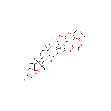 CC(=O)O[C@H]1[C@H](OC(C)=O)[C@@H](O[C@H]2CC[C@@]3(C)[C@@H](CC[C@@H]4[C@@H]3CC[C@]3(C)[C@@H]5[C@H](C[C@@H]43)O[C@]3(CC[C@@H](C)CO3)[C@H]5C)C2)O[C@@H](C)[C@H]1OC(C)=O